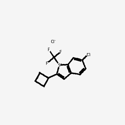 FC(F)(F)[s+]1c(C2CCC2)cc2ccc(Cl)cc21.[Cl-]